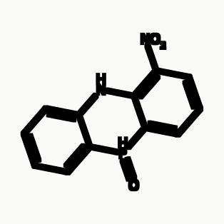 O=[N+]([O-])c1cccc2c1Nc1ccccc1[PH]2=O